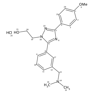 COc1ccc(-c2nc(-c3cccc(CN(C)C)c3)n(CCO)n2)cc1.Cl